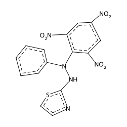 O=[N+]([O-])c1cc([N+](=O)[O-])c(N(Nc2nccs2)c2ccccc2)c([N+](=O)[O-])c1